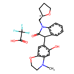 CN1CCOc2cc(C3C(=O)N(C[C@H]4CCCO4)c4ccccc43)c(O)cc21.O=C(O)C(F)(F)F